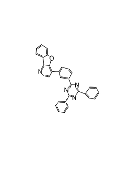 c1ccc(-c2nc(-c3ccccc3)nc(-c3cccc(-c4ccnc5c4oc4ccccc45)c3)n2)cc1